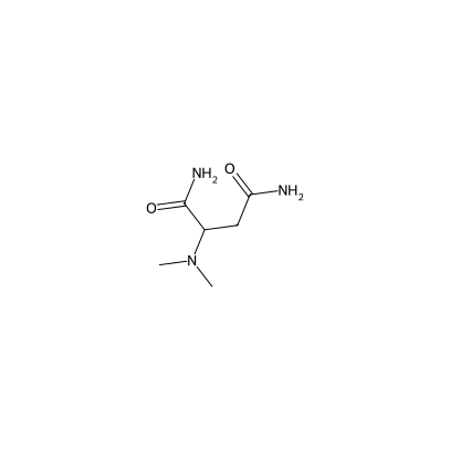 CN(C)C(CC(N)=O)C(N)=O